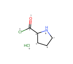 Cl.O=C(Cl)C1CCCN1